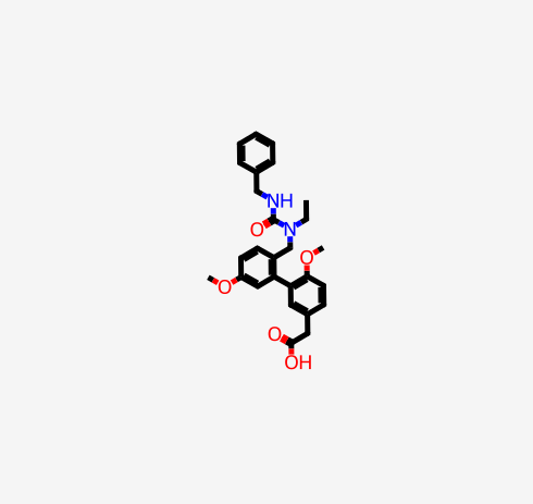 CCN(Cc1ccc(OC)cc1-c1cc(CC(=O)O)ccc1OC)C(=O)NCc1ccccc1